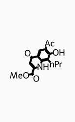 CCCc1c(O)c(C(C)=O)cc2c(=O)cc(C(=O)OC)[nH]c12